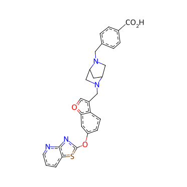 O=C(O)c1ccc(CN2CC3CC2CN3Cc2coc3cc(Oc4nc5ncccc5s4)ccc23)cc1